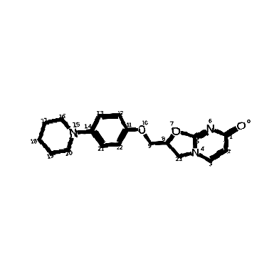 O=c1ccn2c(n1)OC(COc1ccc(N3CCCCC3)cc1)C2